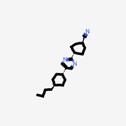 CCCC[C@H]1CC[C@H](c2cnc([C@H]3CC[C@H](C#N)CC3)nc2)CC1